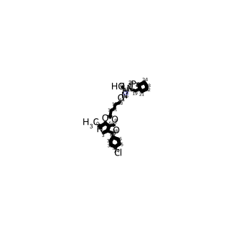 Cc1ncc2c(c1OC(=O)CCCCO/N=[N+](\O)N(Cc1ccccc1)C(C)C)CO[C@H]2c1ccc(Cl)cc1